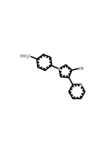 CCOC(=O)c1ccc(-n2cc(C#N)c(-c3ccccn3)c2)cc1